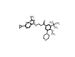 COc1c(N2CCOCC2)cc(C(=O)CCO[n+]2nc(N)n3nc(C4CC4)ccc32)cc1C(C)(C)C